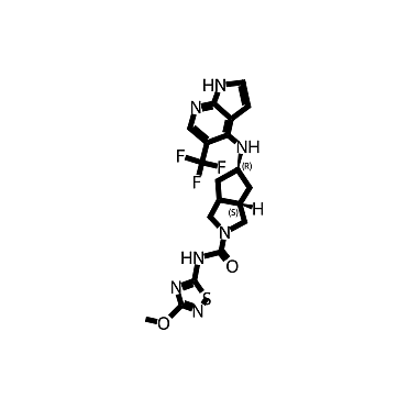 COc1nsc(NC(=O)N2CC3C[C@@H](Nc4c(C(F)(F)F)cnc5[nH]ccc45)C[C@@H]3C2)n1